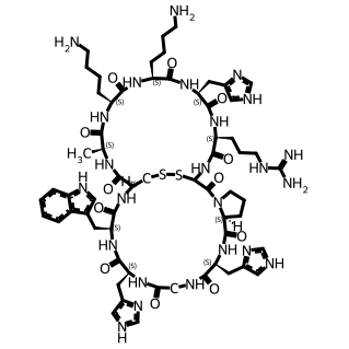 C[C@@H]1NC(=O)[C@@H]2CSSC(NC(=O)[C@H](CCCNC(=N)N)NC(=O)[C@H](Cc3c[nH]cn3)NC(=O)[C@H](CCCCN)NC(=O)[C@H](CCCCN)NC1=O)C(=O)N1CCC[C@H]1C(=O)N[C@@H](Cc1c[nH]cn1)C(=O)NCC(=O)N[C@@H](Cc1c[nH]cn1)C(=O)N[C@@H](Cc1c[nH]c3ccccc13)C(=O)N2